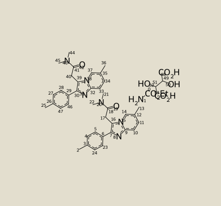 CCOC(N)=O.Cc1ccc(-c2nc3ccc(C)cn3c2CC(=O)N(C)C)cc1.Cc1ccc(-c2nc3ccc(C)cn3c2CC(=O)N(C)C)cc1.O=C(O)C(O)C(O)C(=O)O